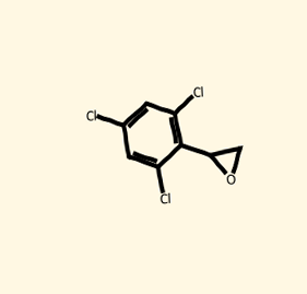 Clc1cc(Cl)c(C2CO2)c(Cl)c1